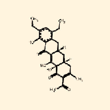 CCc1cc(CC)c2c(c1O)C(=O)C1=C(O)[C@@]3(O)C(=O)C(C(C)=O)=C(C)C[C@H]3C[C@H]1C2